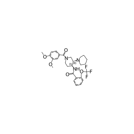 COc1ccc(C(=O)N2CC[C@H](NC(=O)c3ccccc3OC(F)(F)F)[C@H](N3CCCCC3)C2)cc1OC